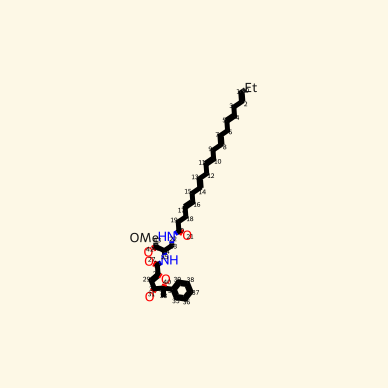 CCC=CCC=CCC=CCC=CCC=CCC=CCCC(=O)NCC(NC(=O)C1=CC(=O)C(C)(c2ccccc2)O1)C(=O)OC